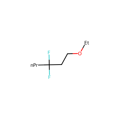 CCCC(F)(F)CCOCC